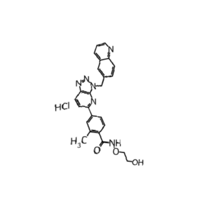 Cc1cc(-c2ccc3nnn(Cc4ccc5ncccc5c4)c3n2)ccc1C(=O)NOCCO.Cl